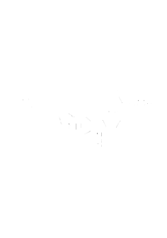 COC(=O)c1ccc2c(c1)C(=Cc1[nH]cc(CCC(=O)O)c1C)C(=O)N2